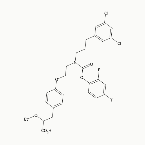 CCOC(Cc1ccc(OCCN(CCCc2cc(Cl)cc(Cl)c2)C(=O)Oc2ccc(F)cc2F)cc1)C(=O)O